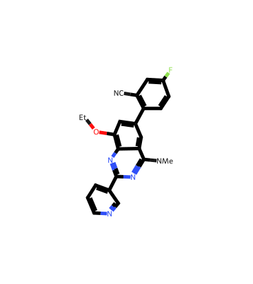 CCOc1cc(-c2ccc(F)cc2C#N)cc2c(NC)nc(-c3cccnc3)nc12